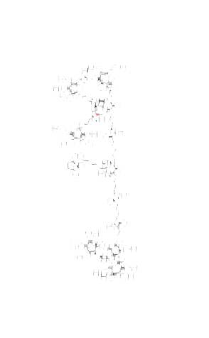 O=C(CCCCCNC(=O)[C@H](CCCCNC(=O)CCCCC(=O)NCCO[C@H]1O[C@H](CO[C@H]2O[C@H](CO)[C@@H](O)[C@H](O)[C@@H]2O)[C@@H](O)[C@H](O[C@H]2O[C@H](CO)[C@@H](O)[C@H](O)[C@@H]2O)[C@@H]1O)NC(=O)CCCCC(=O)ON1C(=O)CCC1=O)NCCCC[C@@H](C(=O)NCCO[C@H]1O[C@H](CO)[C@@H](O)[C@H](O)[C@@H]1O)N(CC(=O)NCCO[C@H]1O[C@H](CO)[C@@H](O)[C@H](O)[C@@H]1O)CC(=O)NCCO[C@H]1O[C@H](CO)[C@@H](O)[C@H](O)[C@@H]1O